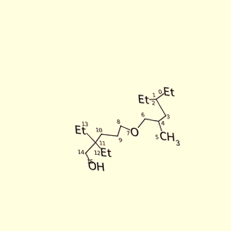 CCC(CC)CC(C)COCCCC(CC)(CC)CO